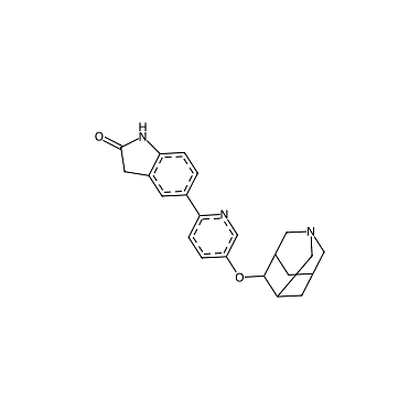 O=C1Cc2cc(-c3ccc(OC4C5CC6CC4CN(C6)C5)cn3)ccc2N1